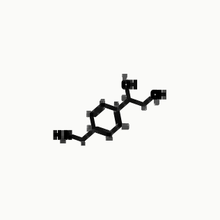 NCc1ccc(C(O)CO)cc1